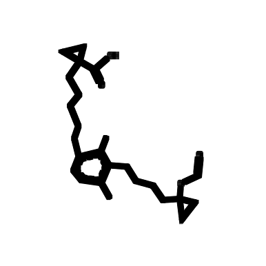 Cc1ccc(CCCCCC2(C(=O)O)CC2)c(C)c1CCCCC1(OC=O)CC1